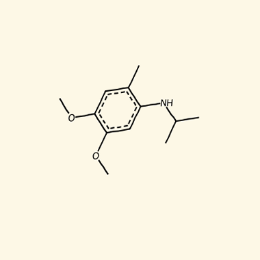 COc1cc(C)c(NC(C)C)cc1OC